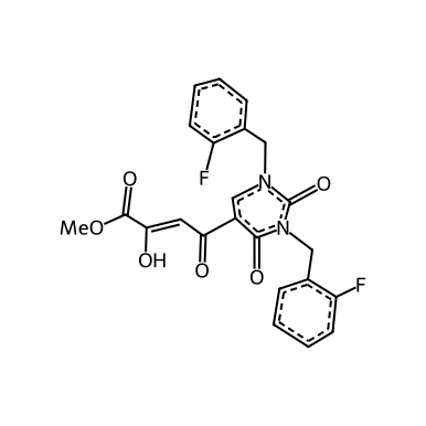 COC(=O)C(O)=CC(=O)c1cn(Cc2ccccc2F)c(=O)n(Cc2ccccc2F)c1=O